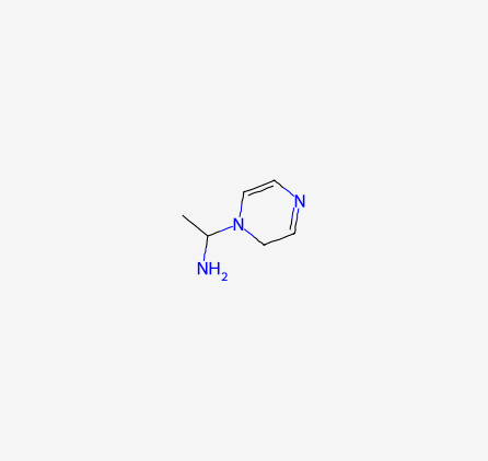 CC(N)N1C=CN=CC1